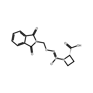 O=C(O)[C@@H]1CCN1[N+]([O-])=NOCN1C(=O)c2ccccc2C1=O